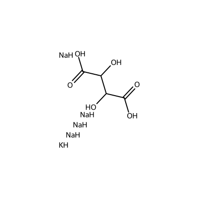 O=C(O)C(O)C(O)C(=O)O.[KH].[NaH].[NaH].[NaH].[NaH]